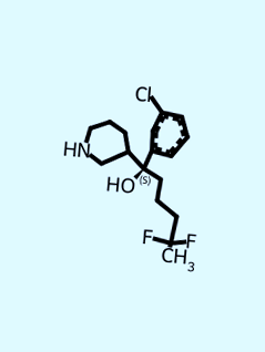 CC(F)(F)CCC[C@@](O)(c1cccc(Cl)c1)C1CCCNC1